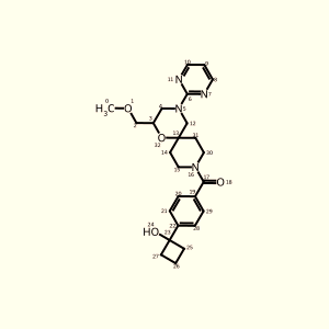 COCC1CN(c2ncccn2)CC2(CCN(C(=O)c3ccc(C4(O)CCC4)cc3)CC2)O1